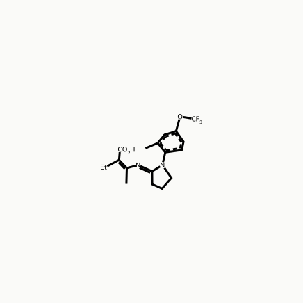 CC/C(C(=O)O)=C(C)/N=C1\CCCN1c1ccc(OC(F)(F)F)cc1C